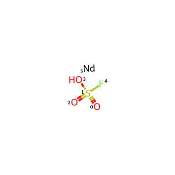 O=S(=O)(O)F.[Nd]